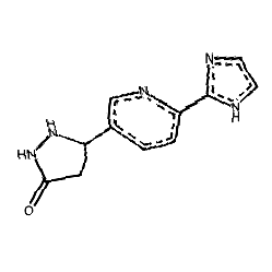 O=C1CC(c2ccc(-c3ncc[nH]3)nc2)NN1